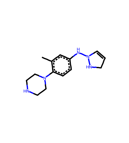 Cc1cc(NN2C=CCN2)ccc1N1CCNCC1